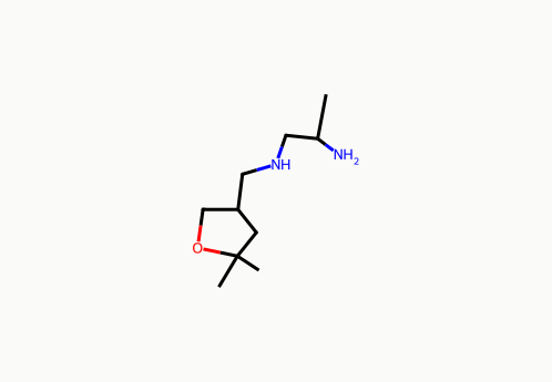 CC(N)CNCC1COC(C)(C)C1